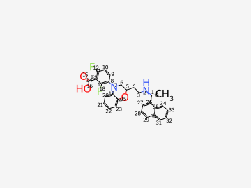 C[C@@H](NCCC1CN(c2ccc(F)c(C(=O)O)c2F)c2ccccc2O1)c1cccc2ccccc12